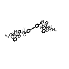 COC(=O)N[C@@H](C(=O)N1CCC[C@H]1CNC(=O)c1ccc(C#Cc2ccc(-c3cnc([C@@H]4CCCN4C(=O)[C@H](NC(=O)OC)c4ccccc4)[nH]3)cc2)cc1)c1ccccc1